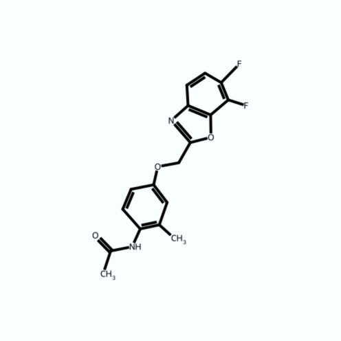 CC(=O)Nc1ccc(OCc2nc3ccc(F)c(F)c3o2)cc1C